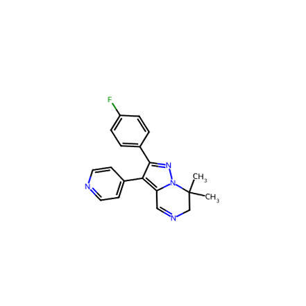 CC1(C)CN=Cc2c(-c3ccncc3)c(-c3ccc(F)cc3)nn21